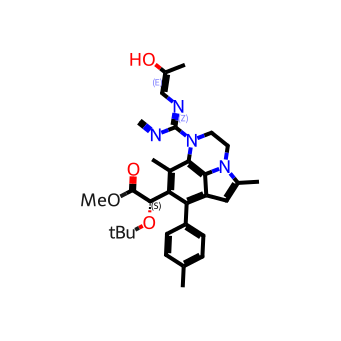 C=N/C(=N\C=C(/C)O)N1CCn2c(C)cc3c(-c4ccc(C)cc4)c([C@H](OC(C)(C)C)C(=O)OC)c(C)c1c32